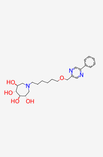 O[C@H]1[C@H](O)[C@@H](O)CN(CCCCCCOCc2cnc(-c3ccccc3)cn2)C[C@@H]1O